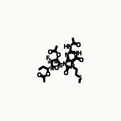 CCC(OC(C)=O)[C@H]1O[C@@H](n2c(=O)n(CCSC)c3c(=O)[nH]c(NC(C)=O)nc32)[C@H](OC(C)=O)[C@H]1F